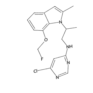 Cc1cc2cccc(OCF)c2n1C(C)CNc1cc(Cl)ncn1